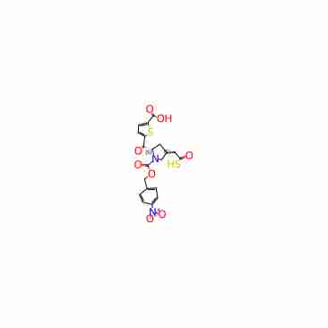 O=C(S)C[C@@H]1C[C@@H](C(=O)c2ccc(C(=O)O)s2)N(C(=O)OCc2ccc([N+](=O)[O-])cc2)C1